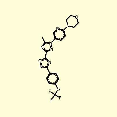 Cc1nc(-c2nc(-c3ccc(OC(F)(F)F)cc3)no2)nn1-c1ccc(N2CCOCC2)nc1